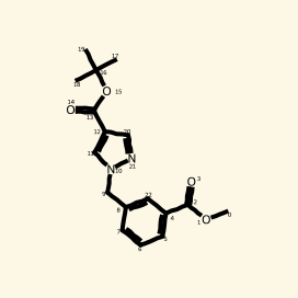 COC(=O)c1cccc(Cn2cc(C(=O)OC(C)(C)C)cn2)c1